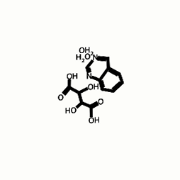 O.O.O=C(O)C(O)C(O)C(=O)O.c1ccc2ncncc2c1